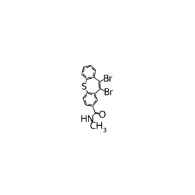 CNC(=O)c1ccc2c(c1)C(Br)=C(Br)c1ccccc1S2